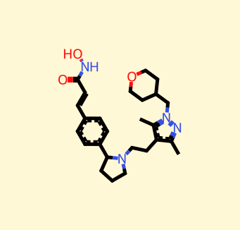 Cc1nn(CC2CCOCC2)c(C)c1CCN1CCCC1c1ccc(C=CC(=O)NO)cc1